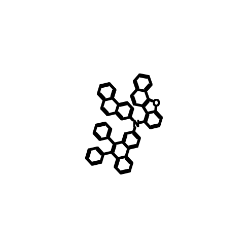 c1ccc(-c2c(-c3ccccc3)c3cc(N(c4ccc5c(ccc6ccccc65)c4)c4cccc5oc6c7ccccc7ccc6c45)ccc3c3ccccc23)cc1